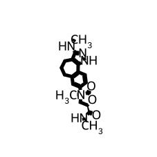 CNC(=O)[C@H]1C[N+](C)(c2ccc3c(c2)CCCc2c(NC)n[nH]c2-3)C(=O)O1